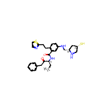 CC[C@H](NC(=O)c1cc(NC[C@@H]2C[C@H](S)CN2)ccc1CCc1nccs1)C(=O)Cc1ccccc1